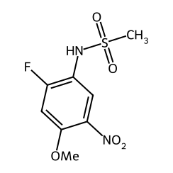 COc1cc(F)c(NS(C)(=O)=O)cc1[N+](=O)[O-]